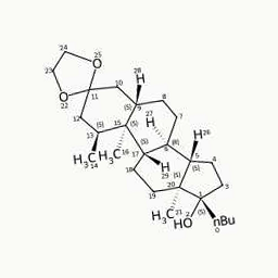 CCCC[C@]1(O)CC[C@H]2[C@@H]3CC[C@H]4CC5(C[C@H](C)[C@]4(C)[C@H]3CC[C@@]21C)OCCO5